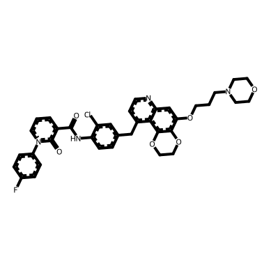 O=C(Nc1ccc(Cc2ccnc3cc(OCCCN4CCOCC4)c4c(c23)OCCO4)cc1Cl)c1cccn(-c2ccc(F)cc2)c1=O